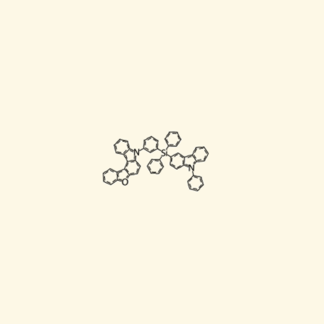 c1ccc(-n2c3ccccc3c3cc([Si](c4ccccc4)(c4ccccc4)c4cccc(-n5c6ccccc6c6c7c(ccc65)oc5ccccc57)c4)ccc32)cc1